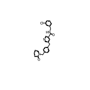 O=C(NCc1cccc(Cl)c1)c1cncc(Cc2ccc(Cn3ccccc3=O)cc2)c1